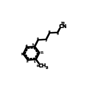 Cc1cccc(CCCCC#N)c1